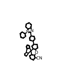 N#Cc1cccc2c1Oc1ccc(-c3ccc(-c4nc5ccccc5n4-c4ccccc4)cc3)cc1C21c2ccccc2C2C=CC=CC21